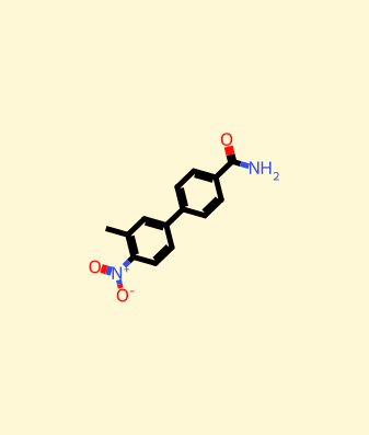 Cc1cc(-c2ccc(C(N)=O)cc2)ccc1[N+](=O)[O-]